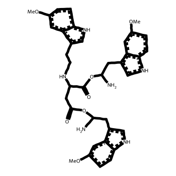 COc1ccc2[nH]cc(CCNC(CC(=O)OC(N)Cc3c[nH]c4ccc(OC)cc34)C(=O)OC(N)Cc3c[nH]c4ccc(OC)cc34)c2c1